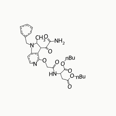 CCCCOC(=O)CC(NC(=O)COc1nccc2c1C(C(=O)C(N)=O)C(C)N2Cc1ccccc1)C(=O)OCCCC